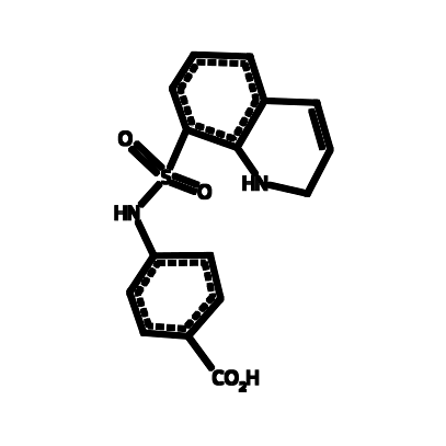 O=C(O)c1ccc(NS(=O)(=O)c2cccc3c2NCC=C3)cc1